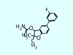 CC1(C)Oc2ccc(-c3cccc(F)c3)cc2C1OC(N)=O